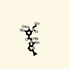 Br.CCN(CCO)c1cc(C(=O)CN2Cc3ccc(C4CC4)nc3C2=N)cc(C(C)(C)C)c1OC